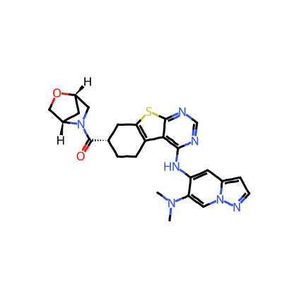 CN(C)c1cn2nccc2cc1Nc1ncnc2sc3c(c12)CC[C@H](C(=O)N1C[C@@H]2C[C@H]1CO2)C3